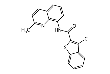 Cc1ccc2cccc(NC(=O)c3sc4ccccc4c3Cl)c2n1